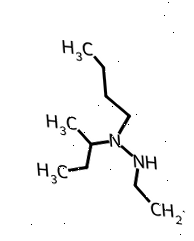 [CH2]CNN(CCCC)C(C)CC